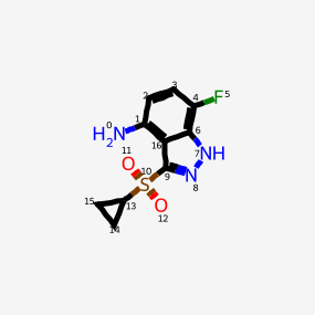 Nc1ccc(F)c2[nH]nc(S(=O)(=O)C3CC3)c12